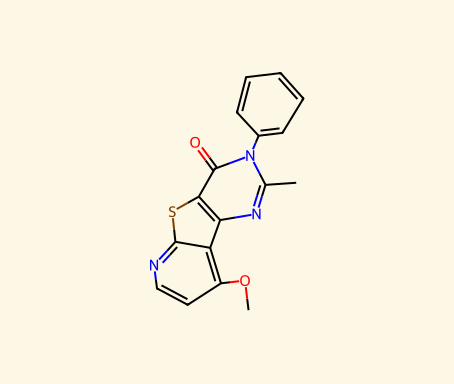 COc1ccnc2sc3c(=O)n(-c4ccccc4)c(C)nc3c12